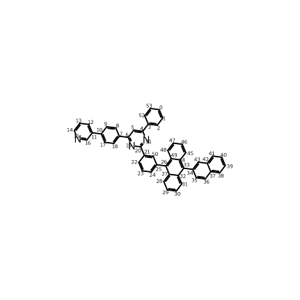 c1ccc(-c2cc(-c3ccc(-c4cccnc4)cc3)nc(-c3cccc(-c4c5ccccc5c(-c5ccc6ccccc6c5)c5ccccc45)c3)n2)cc1